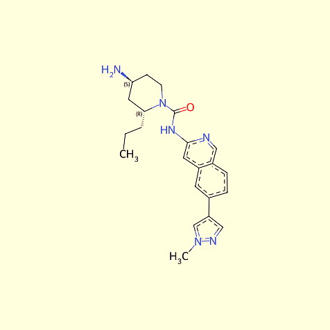 CCC[C@@H]1C[C@@H](N)CCN1C(=O)Nc1cc2cc(-c3cnn(C)c3)ccc2cn1